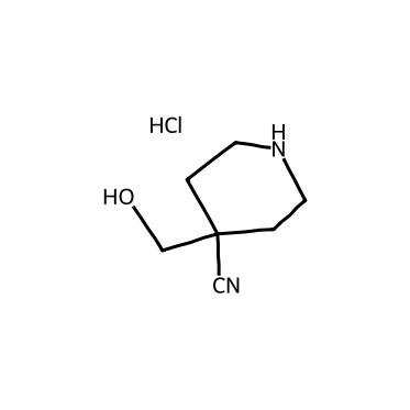 Cl.N#CC1(CO)CCNCC1